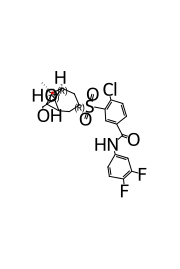 C[C@H]1CC2C[C@@H](S(=O)(=O)c3cc(C(=O)Nc4ccc(F)c(F)c4)ccc3Cl)C[C@H]1[C@]2(O)CO